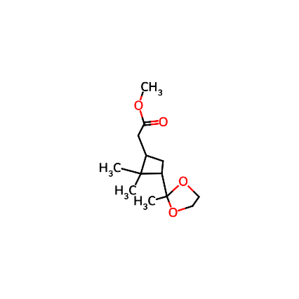 COC(=O)CC1CC(C2(C)OCCO2)C1(C)C